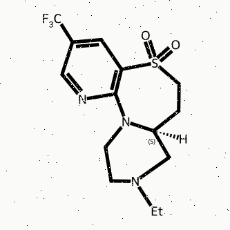 CCN1CCN2c3ncc(C(F)(F)F)cc3S(=O)(=O)CC[C@H]2C1